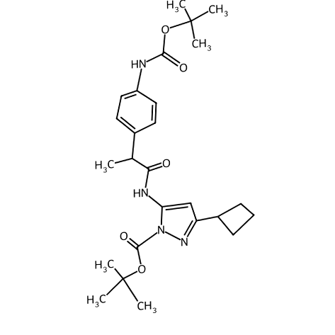 CC(C(=O)Nc1cc(C2CCC2)nn1C(=O)OC(C)(C)C)c1ccc(NC(=O)OC(C)(C)C)cc1